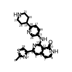 Cc1nc(-c2cc3cc[nH]c(=O)c3c(Nc3ccc(C4CCNCC4)nc3)n2)cs1